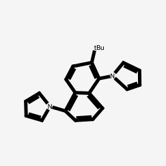 CC(C)(C)c1ccc2c(-n3cccc3)cccc2c1-n1cccc1